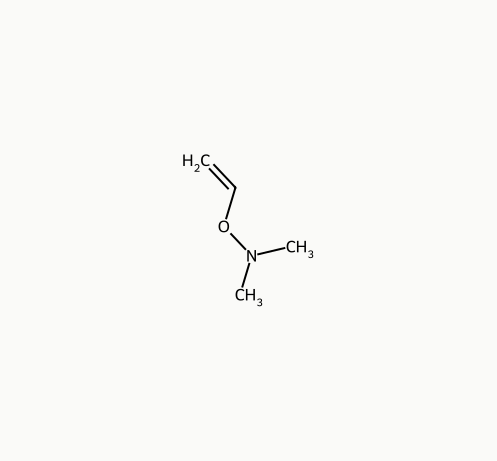 C=CON(C)C